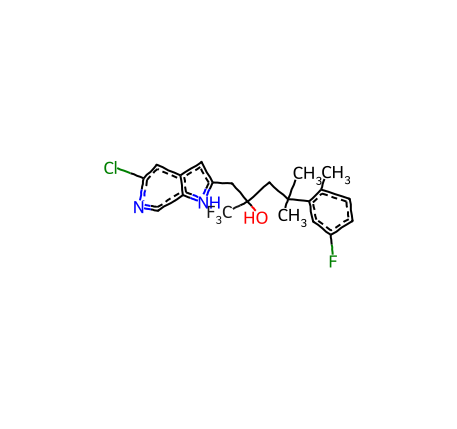 Cc1ccc(F)cc1C(C)(C)CC(O)(Cc1cc2cc(Cl)ncc2[nH]1)C(F)(F)F